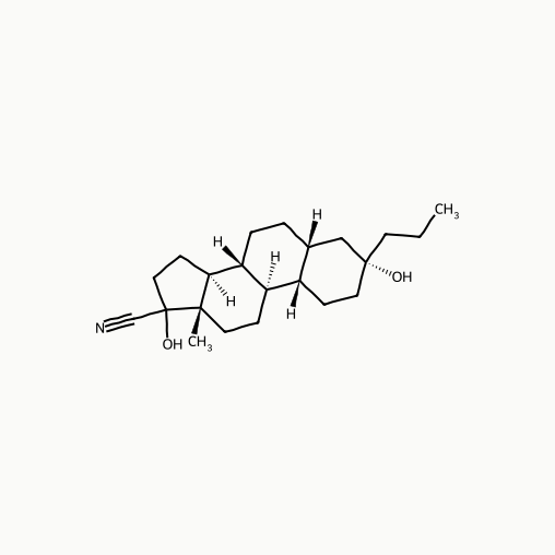 CCC[C@@]1(O)CC[C@H]2[C@H](CC[C@@H]3[C@@H]2CC[C@@]2(C)[C@H]3CCC2(O)C#N)C1